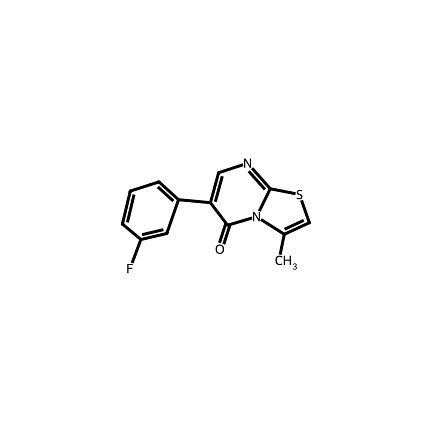 Cc1csc2ncc(-c3cccc(F)c3)c(=O)n12